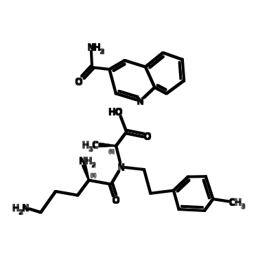 Cc1ccc(CCN(C(=O)[C@H](N)CCCN)[C@@H](C)C(=O)O)cc1.NC(=O)c1cnc2ccccc2c1